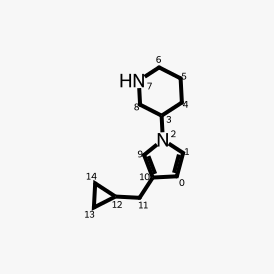 c1cn(C2CCCNC2)cc1CC1CC1